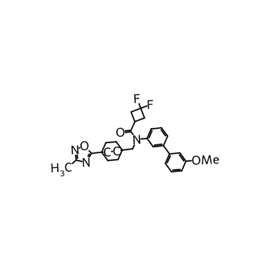 COc1cccc(-c2cccc(N(CC34CCC(c5nc(C)no5)(CC3)CC4)C(=O)C3CC(F)(F)C3)c2)c1